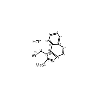 CSc1nc2cnc3ccccc3c2n1CC(C)C.Cl